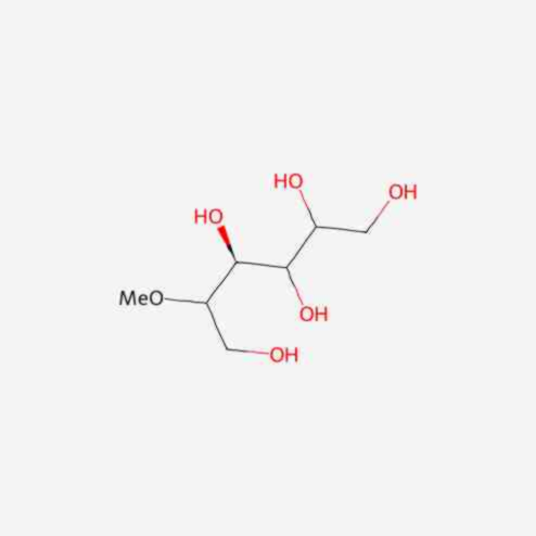 COC(CO)[C@@H](O)C(O)C(O)CO